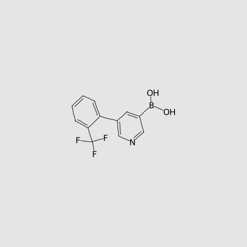 OB(O)c1cncc(-c2ccccc2C(F)(F)F)c1